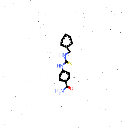 NC(=O)c1ccc(NC(=S)NCc2ccccc2)cc1